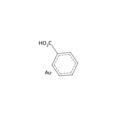 O=C(O)c1ccccc1.[Au]